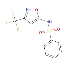 O=S(=O)(Nc1cc(C(F)(F)F)no1)c1ccccc1